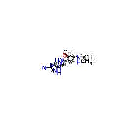 COc1cc(CNCC(C)C)ccc1-c1cc(Nc2cnc(C#N)cn2)n[nH]1